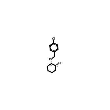 O[C@H]1CCCC[C@@H]1NCc1ccc(Cl)cc1